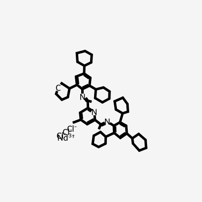 CC(=Nc1c(C2CCCCC2)cc(C2CCCCC2)cc1C1CCCCC1)c1cc(C)cc(C(C)=Nc2c(C3CCCCC3)cc(C3CCCCC3)cc2C2CCCCC2)n1.[Cl-].[Cl-].[Cl-].[Nd+3]